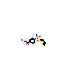 NC(=O)c1cc(F)c(NS(=O)(=O)c2cccs2)cc1F